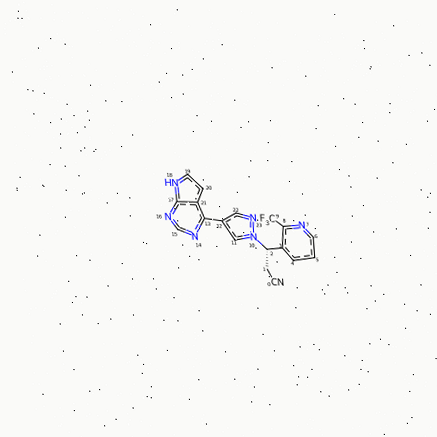 N#CC[C@@H](c1cccnc1C(F)(F)F)n1cc(-c2ncnc3[nH]ccc23)cn1